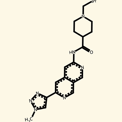 CC(C)CN1CCC(C(=O)Nc2cc3cc(-c4cn(C)nn4)ncc3cn2)CC1